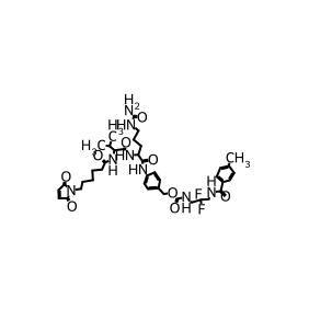 Cc1ccc(C(=O)NCC(F)(F)CNC(=O)OCc2ccc(NC(=O)C(CCCNC(N)=O)NC(=O)C(NC(=O)CCCCCN3C(=O)C=CC3=O)C(C)C)cc2)cc1